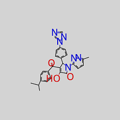 Cc1ccc(N2C(=O)C(O)=C(C(=O)c3ccc(C(C)C)cc3)C2c2ccc(-n3cncn3)cc2)nn1